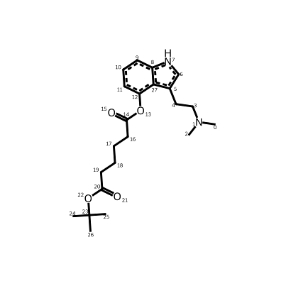 CN(C)CCc1c[nH]c2cccc(OC(=O)CCCCC(=O)OC(C)(C)C)c12